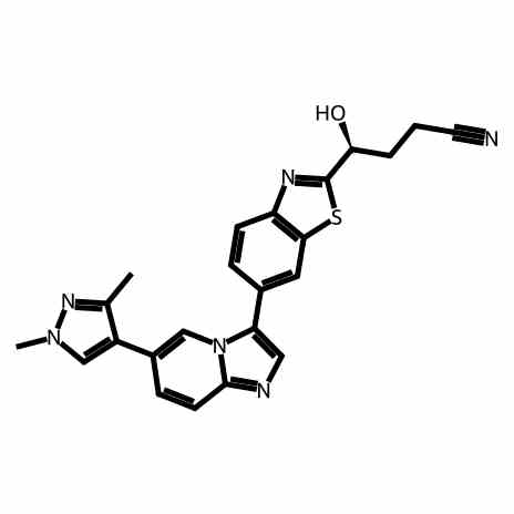 Cc1nn(C)cc1-c1ccc2ncc(-c3ccc4nc([C@@H](O)CCC#N)sc4c3)n2c1